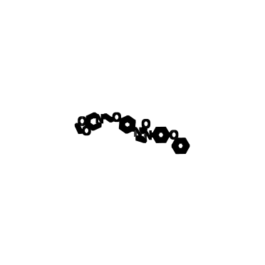 O=c1n(-c2ccc(OCCN3CCC4(CC3)OCCO4)cc2)ccn1-c1ccc(Oc2ccccc2)cc1